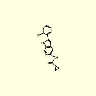 O=C(Nc1cc2cc(-c3ccccc3Cl)[nH]c2cn1)C1CC1